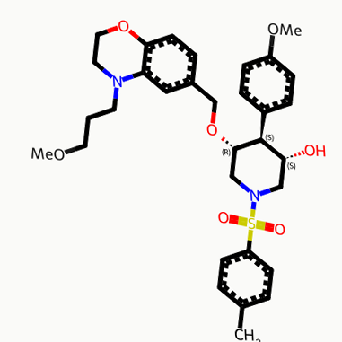 COCCCN1CCOc2ccc(CO[C@H]3CN(S(=O)(=O)c4ccc(C)cc4)C[C@@H](O)[C@@H]3c3ccc(OC)cc3)cc21